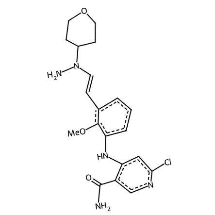 COc1c(/C=C/N(N)C2CCOCC2)cccc1Nc1cc(Cl)ncc1C(N)=O